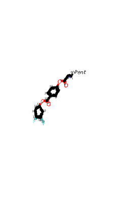 CCCCC/C=C/C(=O)Oc1ccc(C(=O)Oc2ccc(F)c(F)c2)cc1